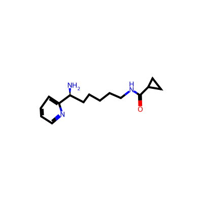 N[C@@H](CCCCCNC(=O)C1CC1)c1ccccn1